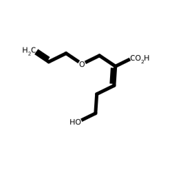 C=CCOCC(=CCCO)C(=O)O